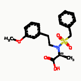 COc1cccc(CCN([C@@H](C)C(=O)O)S(=O)(=O)Cc2ccccc2)c1